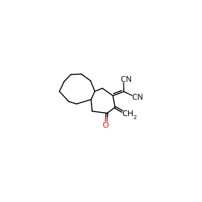 C=C1C(=O)CC2CCCCCCCC2CC1=C(C#N)C#N